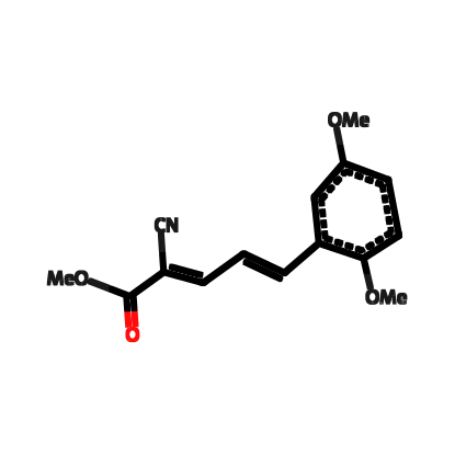 COC(=O)/C(C#N)=C/C=C/c1cc(OC)ccc1OC